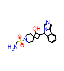 NCS(=O)(=O)N1CCC2(CC1)CC(C1c3ccccc3-c3cncn31)C2O